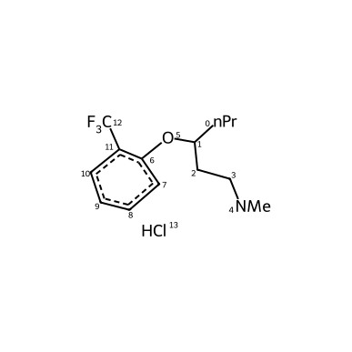 CCCC(CCNC)Oc1ccccc1C(F)(F)F.Cl